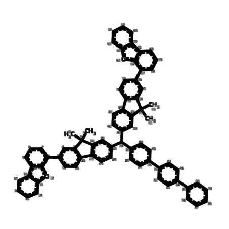 CC1(C)c2cc(-c3cccc4c3oc3ccccc34)ccc2-c2ccc(C(c3ccc(-c4ccc(-c5ccccc5)cc4)cc3)c3ccc4c(c3)C(C)(C)c3cc(-c5cccc6c5oc5ccccc56)ccc3-4)cc21